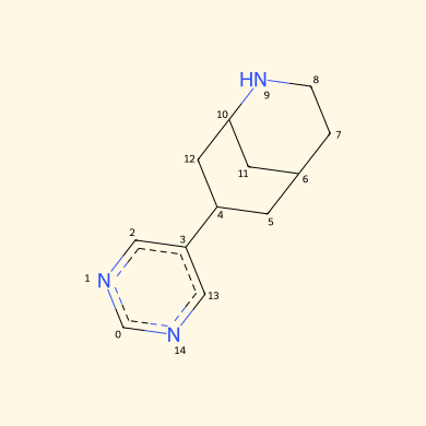 c1ncc(C2CC3CCNC(C3)C2)cn1